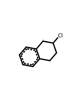 ClC1[CH]c2ccccc2CC1